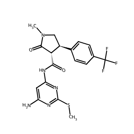 CSc1nc(N)cc(NC(=O)[C@@H]2C(=O)N(C)C[C@H]2c2ccc(C(F)(F)F)cc2)n1